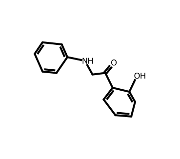 O=C(CNc1ccccc1)c1ccccc1O